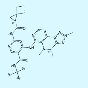 [2H]C([2H])([2H])NC(=O)c1cnc(NC(=O)[C@@H]2CC23CCC3)cc1Nc1nccc2c1N(C)[C@@H](C)c1nn(C)nc1-2